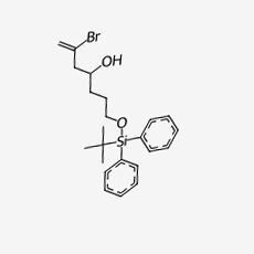 C=C(Br)CC(O)CCCO[Si](c1ccccc1)(c1ccccc1)C(C)(C)C